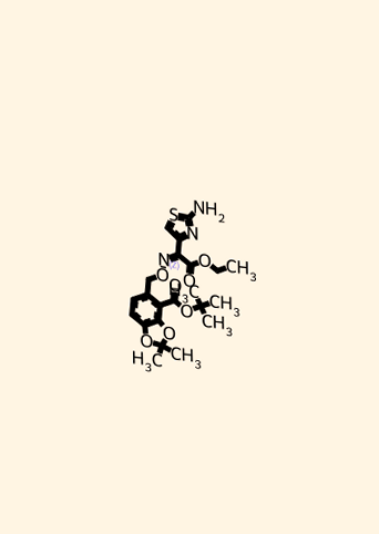 CCOC(=O)/C(=N\OCc1ccc2c(c1C(=O)OC(C)(C)C)OC(C)(C)O2)c1csc(N)n1